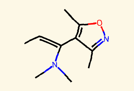 C/C=C(/c1c(C)noc1C)N(C)C